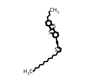 CCCCCCCCCCCCc1ccc(C#Cc2ccc3c(c2)sc2c4ccc(CCCC)cc4sc32)s1